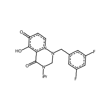 CC(C)N1CN(Cc2cc(F)cc(F)c2)n2ccc(=O)c(O)c2C1=O